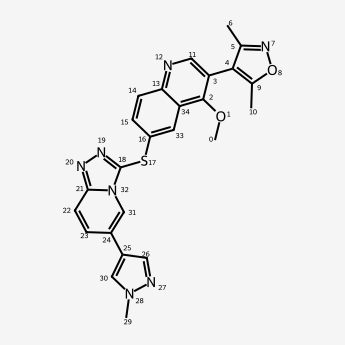 COc1c(-c2c(C)noc2C)cnc2ccc(Sc3nnc4ccc(-c5cnn(C)c5)cn34)cc12